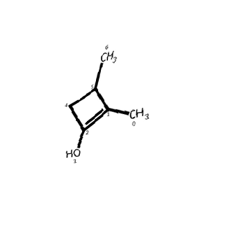 CC1=C(O)CC1C